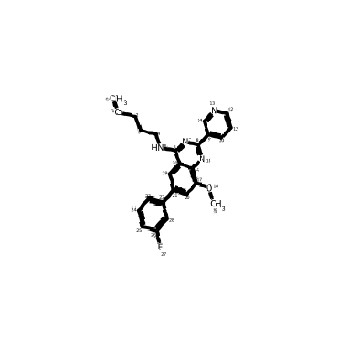 COCCCNc1nc(-c2cccnc2)nc2c(OC)cc(-c3cccc(F)c3)cc12